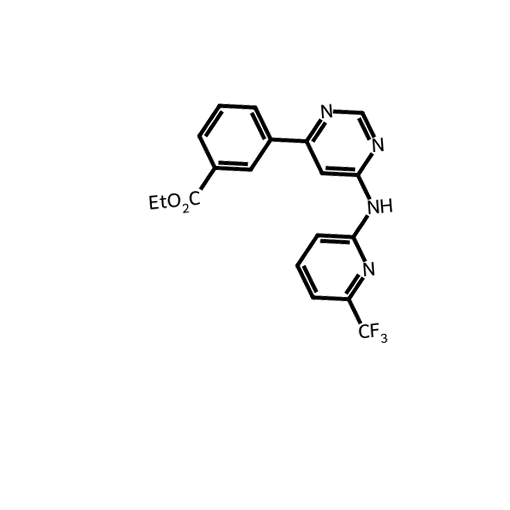 CCOC(=O)c1cccc(-c2cc(Nc3cccc(C(F)(F)F)n3)ncn2)c1